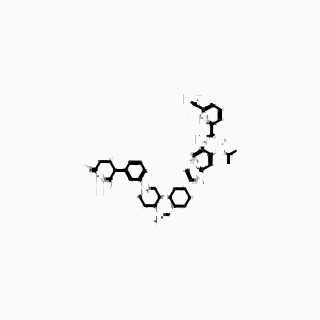 CC(C)Oc1cc2nc([C@H]3CC[C@H](CN(C)C4CCN(c5cccc(C6CCC(=O)NC6=O)c5)CC4)CC3)cn2cc1NC(=O)c1cccc(C(F)(F)F)n1